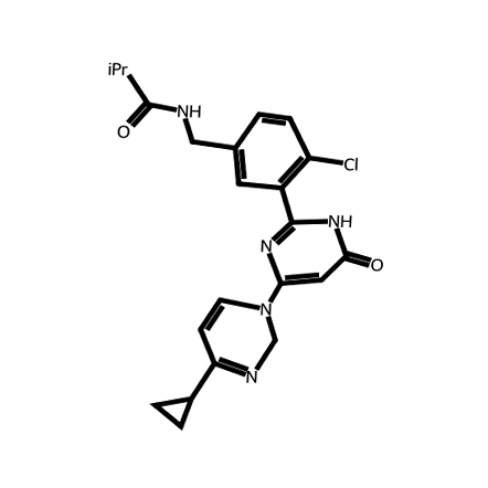 CC(C)C(=O)NCc1ccc(Cl)c(-c2nc(N3C=CC(C4CC4)=NC3)cc(=O)[nH]2)c1